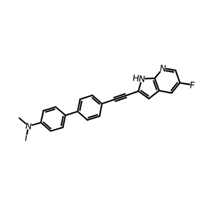 CN(I)c1ccc(-c2ccc(C#Cc3cc4cc(F)cnc4[nH]3)cc2)cc1